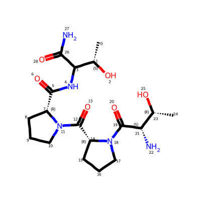 C[C@H](O)C(NC(=O)[C@H]1CCCN1C(=O)[C@H]1CCCN1C(=O)[C@@H](N)[C@@H](C)O)C(N)=O